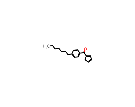 CCCCCCCc1ccc(C(=O)C2=CC=CC2)cc1